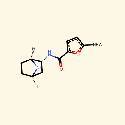 CC(=O)Nc1ccc(C(=O)N[C@@H]2C[C@H]3CC[C@@H]2N3)o1